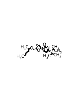 CCCCC(C)OC[C@H]1O[C@@H](n2ccc(N(C(C)C)C(C)C)nc2=O)CS1